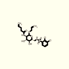 C=CCCC(=O)N[C@H]1C(OCC=C)O[C@H](CNS(=O)(=O)c2cccc(Cl)c2Cl)[C@@H](O)[C@@H]1O